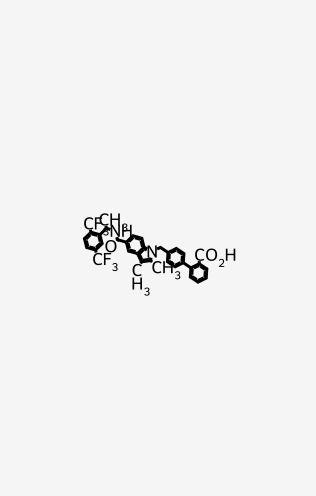 Cc1c(C)n(Cc2ccc(-c3ccccc3C(=O)O)cc2)c2ccc(C(=O)NC(C)c3cc(C(F)(F)F)ccc3C(F)(F)F)cc12